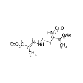 CCOC(=O)C(C)=NNCCC(NC=O)C(C)OC